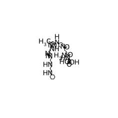 Cc1cc(NC2CCN(C(=O)CC[C@H](N)C(=O)NCP(=O)(O)O)CC2)nc(NCc2cn(CCCNCCCNC3CCCCC3)nn2)n1